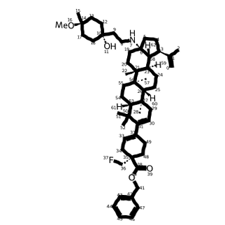 C=C(C)[C@@H]1CC[C@]2(NCC[C@]3(O)CC[C@](C)(OC)CC3)CC[C@]3(C)[C@H](CC[C@@H]4[C@@]5(C)CC=C(C6=CC[C@](CF)(C(=O)OCc7ccccc7)CC6)C(C)(C)[C@@H]5CC[C@]43C)[C@@H]12